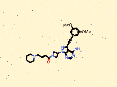 COc1cc(C#Cc2nn(C3CN(C(=O)C=CCN4CCCCC4)C3)c3ncnc(N)c23)cc(OC)c1